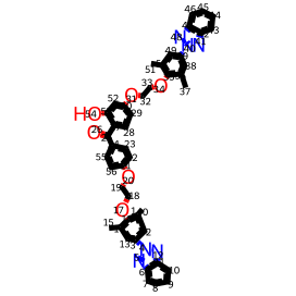 Cc1cc(-n2nc3ccccc3n2)cc(C)c1OCCOc1ccc(C(=O)c2ccc(OCCOc3c(C)cc(-n4nc5ccccc5n4)cc3C)cc2O)cc1